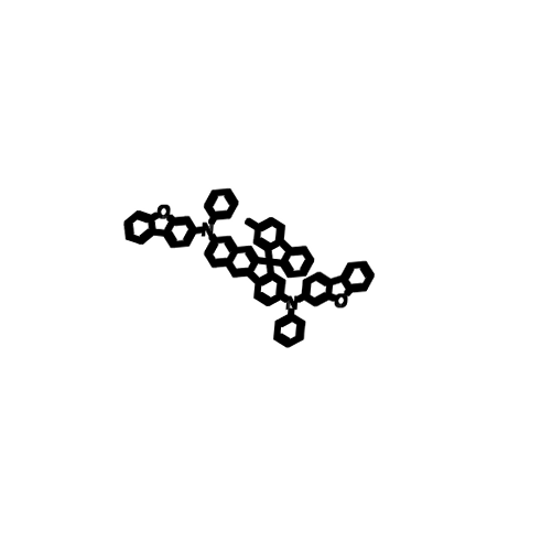 Cc1ccc2c(c1)C1(c3ccccc3-2)c2cc(N(c3ccccc3)c3ccc4c(c3)oc3ccccc34)ccc2-c2cc3ccc(N(c4ccccc4)c4ccc5c(c4)oc4ccccc45)cc3cc21